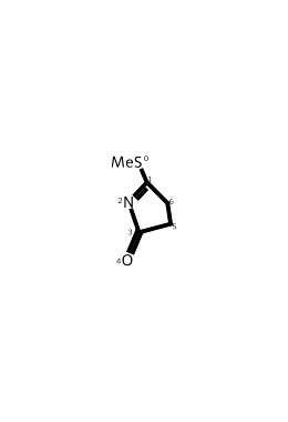 CSC1=NC(=O)CC1